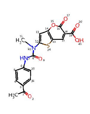 CC(=O)c1ccc(NC(=O)N(C)c2cc3oc(=O)c(C(=O)O)cc3s2)cc1